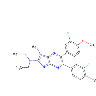 CCN(CC)c1nc2nc(-c3ccc(C#N)c(F)c3)c(-c3ccc(OC)c(F)c3)nc2n1C